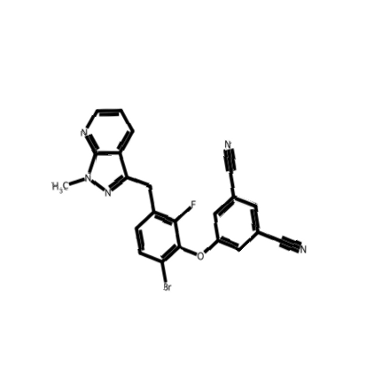 Cn1nc(Cc2ccc(Br)c(Oc3cc(C#N)cc(C#N)c3)c2F)c2cccnc21